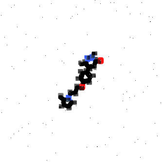 Cc1nn(C)c(=O)cc1-c1ccc(OCCCN2CCCC2C)cc1